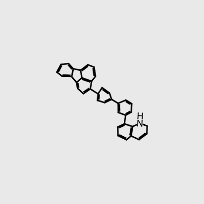 C1=Cc2cccc(-c3cccc(-c4ccc(-c5ccc6c7c(cccc57)-c5ccccc5-6)cc4)c3)c2NC1